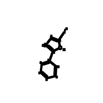 Ic1cnc(-c2ccccc2)o1